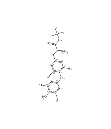 CC(C)(C)OC(=O)[C@@H](N)Cc1cc(I)c(Oc2cc(I)c(O)c(I)c2)c(I)c1